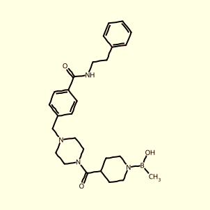 CB(O)N1CCC(C(=O)N2CCN(Cc3ccc(C(=O)NCCc4ccccc4)cc3)CC2)CC1